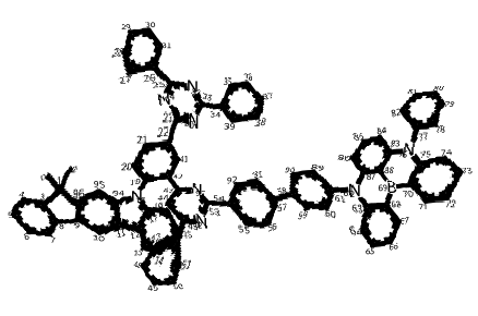 CC1(C)c2ccccc2-c2cc3c4ccccc4n(-c4ccc(-c5nc(-c6ccccc6)nc(-c6ccccc6)n5)cc4-c4cc(-c5ccccc5)nc(-c5ccc(-c6ccc(N7c8ccccc8B8c9ccccc9N(c9ccccc9)c9cccc7c98)cc6)cc5)n4)c3cc21